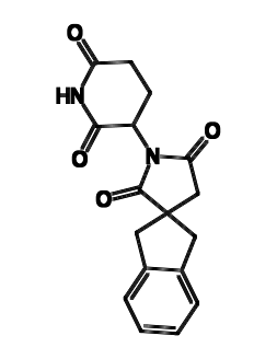 O=C1CCC(N2C(=O)CC3(Cc4ccccc4C3)C2=O)C(=O)N1